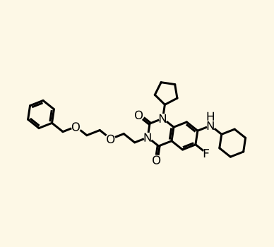 O=c1c2cc(F)c(NC3CCCCC3)cc2n(C2CCCC2)c(=O)n1CCOCCOCc1ccccc1